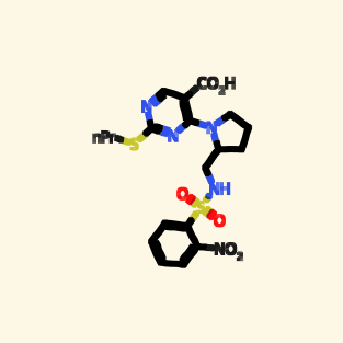 CCCSc1ncc(C(=O)O)c(N2CCCC2CNS(=O)(=O)c2ccccc2[N+](=O)[O-])n1